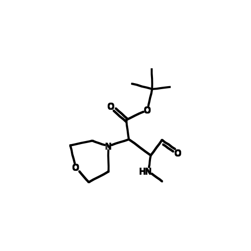 CNC(C=O)C(C(=O)OC(C)(C)C)N1CCOCC1